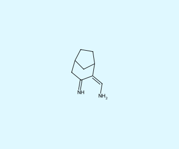 N=C1CC2CCC(C2)/C1=C/N